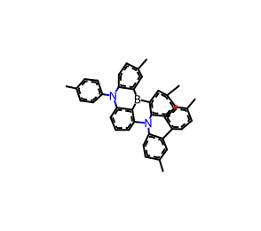 Cc1ccc(-c2cc(C)ccc2N2c3ccc(C)cc3B3c4cc(C)ccc4N(c4ccc(C)cc4)c4cccc2c43)cc1